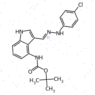 CC(C)(C)OC(=O)Nc1cccc2[nH]cc(/C=N/Nc3ccc(Cl)cc3)c12